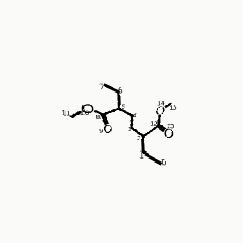 CCC(CCC(CC)C(=O)OC)C(=O)OC